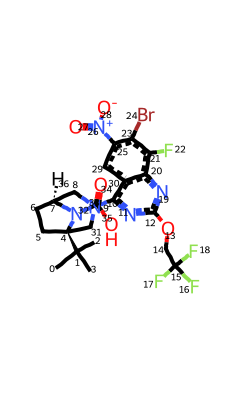 CC(C)(C)[C@]12CC[C@@H](CN(c3nc(OCC(F)(F)F)nc4c(F)c(Br)c([N+](=O)[O-])cc34)C1)N2C(=O)O